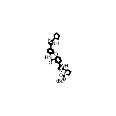 CC(C)(C)OC(=O)N1CCC[C@H]1c1ncc(-c2ccc3c(c2)C(=O)Nc2ccc(-c4cnc(C5CCCC5)[nH]4)cc2O3)[nH]1